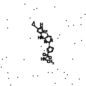 CNS(=O)(=O)c1ccc(-c2ncc(F)c(Nc3cc(C4CC4)[nH]n3)n2)s1